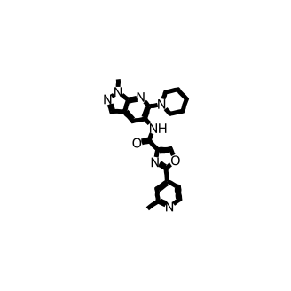 Cc1cc(-c2nc(C(=O)Nc3cc4cnn(C)c4nc3N3CCCCC3)co2)ccn1